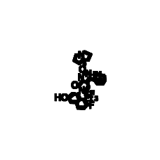 CCc1c(F)ccc2cc(O)cc(-n3c(C(F)(F)F)cc4c(N5CC6CCC5CN6)nc(OCC56CCCN5CCC6)nc4c3=O)c12